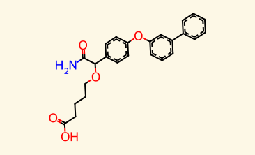 NC(=O)C(OCCCCC(=O)O)c1ccc(Oc2cccc(-c3ccccc3)c2)cc1